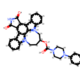 O=C1NC(=O)c2c1c1c3ccccc3n3c1c1c2c2ccccc2n1CC(OC(=O)N1CCN(c2ccccc2)CC1)CC3